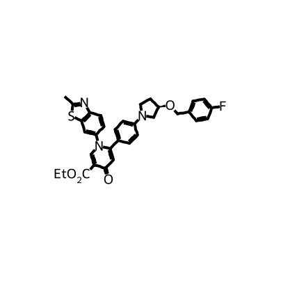 CCOC(=O)c1cn(-c2ccc3nc(C)sc3c2)c(-c2ccc(N3CC[C@@H](OCc4ccc(F)cc4)C3)cc2)cc1=O